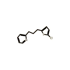 Clc1ccc(CCCc2ccccn2)s1